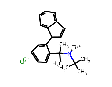 CC(C)(C)[N]([Ti+2])C(C)(C)c1ccccc1C1C=Cc2ccccc21.[Cl-].[Cl-]